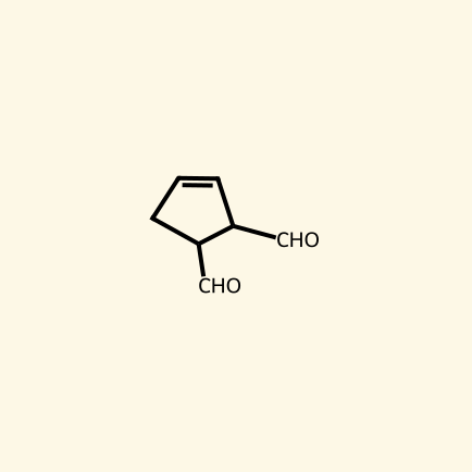 O=CC1C=CCC1C=O